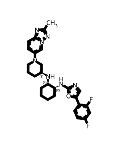 Cc1nc2ccc(N3CCC[C@H](N[C@@H]4CCCC[C@H]4Nc4ncc(-c5ccc(F)cc5F)o4)C3)cn2n1